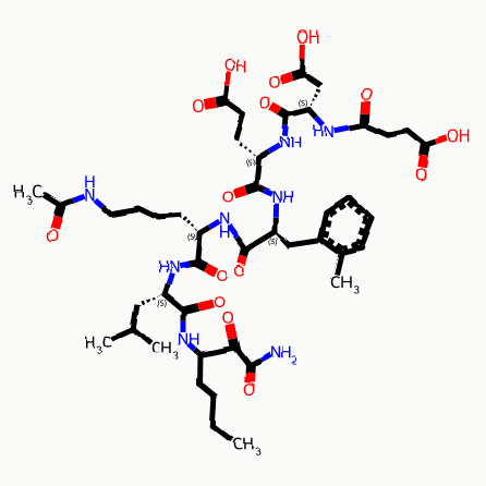 CCCCC(NC(=O)[C@H](CC(C)C)NC(=O)[C@H](CCCCNC(C)=O)NC(=O)[C@H](Cc1ccccc1C)NC(=O)[C@H](CCC(=O)O)NC(=O)[C@H](CC(=O)O)NC(=O)CCC(=O)O)C(=O)C(N)=O